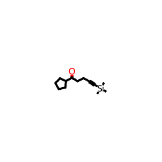 C[Si](C)(C)C#CCCC(=O)C1CCCC1